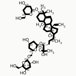 C=C[C@@]12CCC([C@H](C)CC[C@@H](O[C@H]3C[C@@H](O)C[C@@H](CO[C@H]4O[C@H](CO)[C@@H](O)C[C@H]4O)O3)C(C)(C)O)[C@@]1(C)CC[C@@]1(C)C3CC[C@H](O[C@H]4C[C@@H](O)C[C@@H](CO)O4)C(C)(C)C3=CCC12